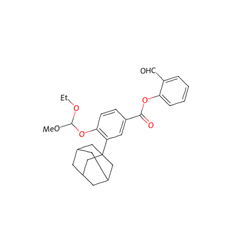 CCOC(OC)Oc1ccc(C(=O)Oc2ccccc2C=O)cc1C12CC3CC(CC(C3)C1)C2